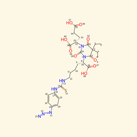 CCC1(CC)C(=O)N([C@@H](CCCCNC(=S)Nc2ccc(N=[N+]=[N-])cc2)C(=O)O)C(=O)N([C@@H](CCC(=O)O)C(=O)O)C1=O